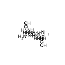 N=C(NC(=N)N(CCN)Cc1ccc(CN(CCN)C(=N)NC(=N)Nc2ccc(O)cc2)cc1)Nc1ccc(O)cc1